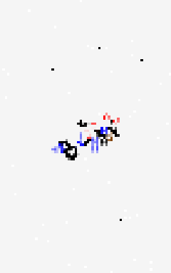 CC1(C)S[C@@H]2[C@H](NC(=O)CNc3cccc4[nH]ccc34)C(=O)N2[C@H]1C(=O)[O-].[Na+]